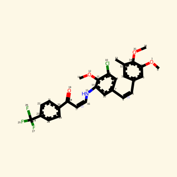 COc1cc(/C=C\c2cc(Cl)c(OC)c(N/C=C\C(=O)c3ccc(C(F)(F)F)cc3)c2)cc(C)c1OC